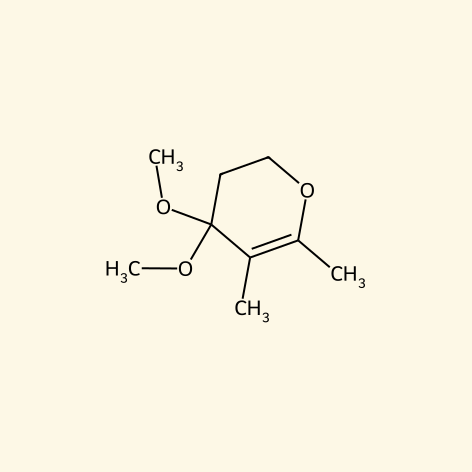 COC1(OC)CCOC(C)=C1C